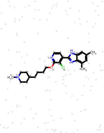 Cc1cc(C)c2nc(-c3ccnc(OCCCCC4CCN(C)CC4)c3Cl)[nH]c2c1